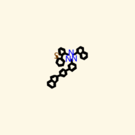 c1cc(-c2ccc(-c3ccc4ccccc4c3)cc2)cc(-c2nc(-c3cccc4ccccc34)nc(-c3cccc4sc5ccccc5c34)n2)c1